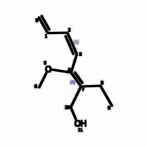 C=C/C=C\C(OC)=C(/CC)CO